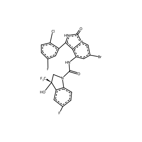 O=C(Nc1cc(Br)cn2c(=O)[nH]c(-c3cc(F)ccc3Cl)c12)N1C[C@](O)(C(F)(F)F)c2cc(F)ccc21